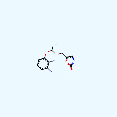 CC(Oc1cccc(I)c1I)SCc1c[nH]c(=O)o1